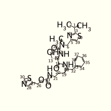 CC(C)c1nc(CN(C)C(=O)N[C@@H](CO)C(=O)N[C@H](CCCNC(=O)OCc2cncs2)Cc2ccccc2)cs1